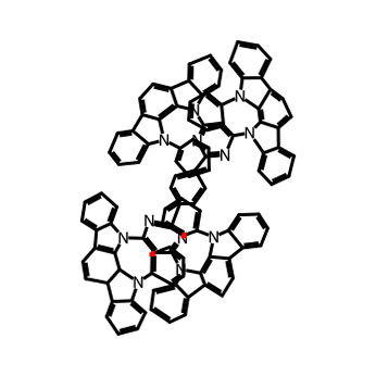 C1=CC2c3ccccc3N(c3ccccc3)C2c2c1c1ccccc1n2-c1cc(-n2c3ccccc3c3ccc4c5ccccc5n(-c5ccccc5)c4c32)nc(-c2ccc(-c3nc(-n4c5ccccc5c5ccc6c7ccccc7n(-c7ccccc7)c6c54)cc(-n4c5ccccc5c5ccc6c7ccccc7n(-c7ccccc7)c6c54)n3)cc2)n1